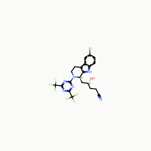 N#CCC[C@@H](O)C[C@@H]1c2[nH]c3ccc(Cl)cc3c2CCN1c1nc(C(F)(F)F)nc(C(F)(F)F)n1